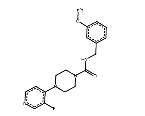 CCCOc1cccc(CNC(=O)N2CCN(c3ccncc3F)CC2)c1